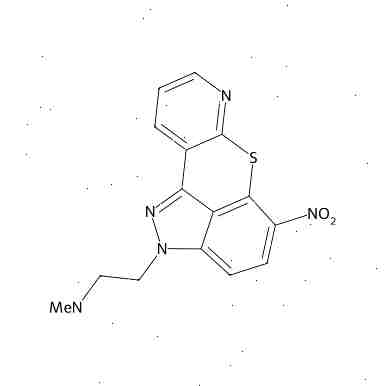 CNCCn1nc2c3c(c([N+](=O)[O-])ccc31)Sc1ncccc1-2